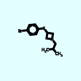 C[C](C)CN1CC(Sc2ccc(Br)cc2)C1